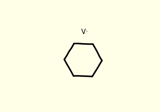 C1CCCCC1.[V]